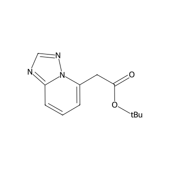 CC(C)(C)OC(=O)Cc1cccc2ncnn12